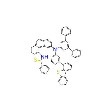 c1ccc(-c2cc(-c3ccccc3)cc(N(c3cccc(-c4cccc5c4sc4ccccc45)c3)c3ccc4ccc5ccc6c(c5c4c3)NC(c3ccccc3)S6)c2)cc1